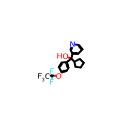 OC(c1ccc(OC(F)(F)C(F)(F)F)cc1)(c1cccnc1)C1CCCC1